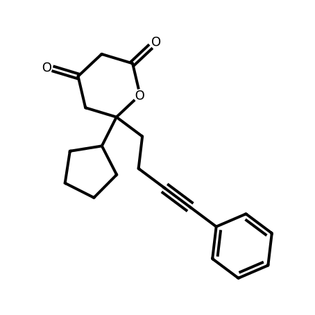 O=C1CC(=O)OC(CCC#Cc2ccccc2)(C2CCCC2)C1